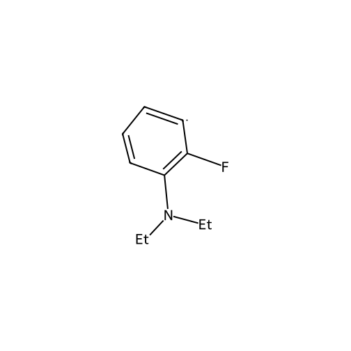 CCN(CC)c1ccc[c]c1F